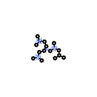 c1ccc(-c2cc(-c3ccccc3)cc(-c3cccc(-c4nc(-c5ccccc5)nc(-c5cccc(-n6c7ccc(-c8cccc(-c9nc(-c%10ccccc%10)nc(-c%10ccccc%10)n9)c8)cc7c7cc(-c8cccc(-c9nc(-c%10ccccc%10)nc(-c%10ccccc%10)n9)c8)ccc76)c5)n4)c3)c2)cc1